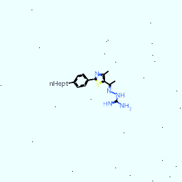 CCCCCCCc1ccc(-c2nc(C)c(/C(C)=N/NC(=N)N)s2)cc1